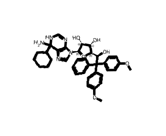 COc1ccc(C(c2ccccc2)(c2ccc(OC)cc2)C(O)[C@H]2O[C@@H](n3cnc4c3N=CNC4(N)C3CCCCC3)[C@H](O)[C@@H]2O)cc1